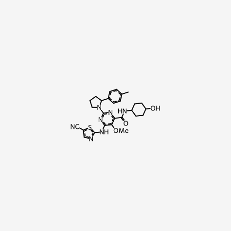 COc1c(Nc2ncc(C#N)s2)nc(N2CCCC2c2ccc(C)cc2)nc1C(=O)NC1CCC(O)CC1